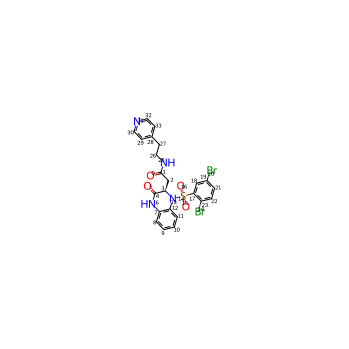 O=C(C[C@@H]1C(=O)Nc2ccccc2N1S(=O)(=O)c1cc(Br)ccc1Br)NCCc1ccncc1